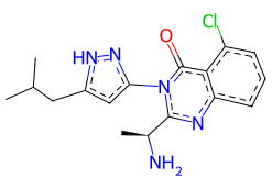 CC(C)Cc1cc(-n2c([C@H](C)N)nc3cccc(Cl)c3c2=O)n[nH]1